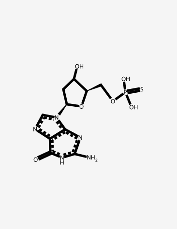 Nc1nc2c(ncn2[C@H]2CC(O)[C@@H](COP(O)(O)=S)O2)c(=O)[nH]1